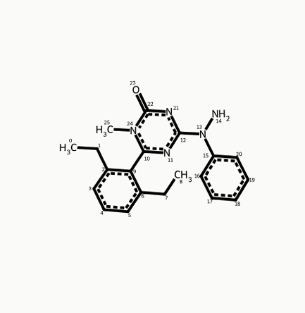 CCc1cccc(CC)c1-c1nc(N(N)c2ccccc2)nc(=O)n1C